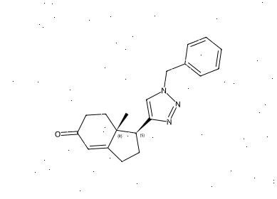 C[C@]12CCC(=O)C=C1CC[C@@H]2c1cn(Cc2ccccc2)nn1